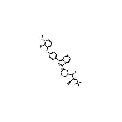 COc1cccc(Oc2ccc(-c3nc([C@@H]4CCCN(C(=O)/C(C#N)=C/C(C)(C)C)C4)n4ccncc34)cc2)c1F